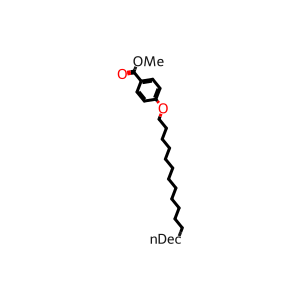 CCCCCCCCCCCCCCCCCCCCCCOc1ccc(C(=O)OC)cc1